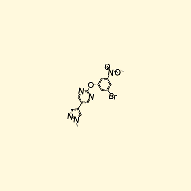 Cn1cc(-c2cnc(Oc3cc(Br)cc([N+](=O)[O-])c3)nc2)cn1